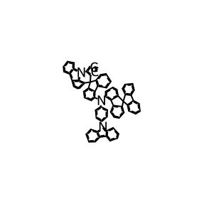 c1ccc2c(c1)-c1ccccc1C21c2ccccc2-c2c(N(c3ccc(-n4c5ccccc5c5ccccc54)cc3)c3cccc4c3-c3ccccc3C43c4ccccc4-n4c5ccccc5c5cccc3c54)cccc21